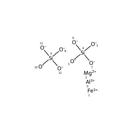 [Al+3].[Fe+3].[Mg+2].[O-][Si]([O-])([O-])[O-].[O-][Si]([O-])([O-])[O-]